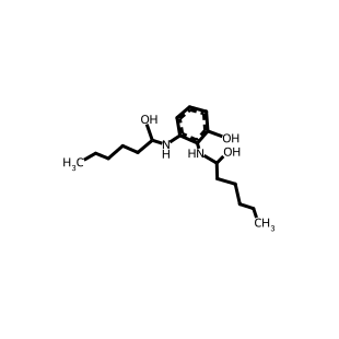 CCCCCC(O)Nc1cccc(O)c1NC(O)CCCCC